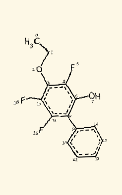 CCOc1c(F)c(O)c(-c2ccccc2)c(F)c1F